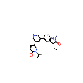 CCC1C(=O)N(C)c2ccc(-c3cncc(-c4ccc(=O)n(C(C)C)c4)c3)cc21